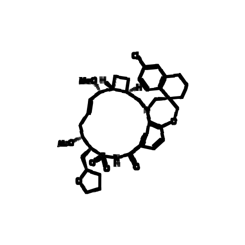 CO[C@H]1/C=C/C[C@@H](OC)[C@H](C[C@H]2CCCO2)S(=O)(=O)NC(=O)c2ccc3c(c2)N(C[C@@H]2CC[C@H]21)C[C@@]1(CCCc2cc(Cl)ccc21)CO3